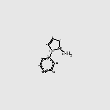 NN1CC=CN1c1ccncc1